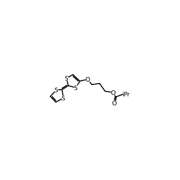 CC(C)C(=O)OCCCOC1=CSC(=C2SC=CS2)S1